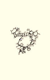 CO[C@]1(CN2CCN3CCCC[C@@H]3C2)/C=C/C[C@H](C)[C@@H](C[C@H](C)O)S(=O)(=O)NC(=O)c2ccc3c(c2)N(C[C@@H]2CC[C@H]21)C[C@@]1(CCCc2cc(Cl)ccc21)CO3